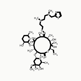 CC[C@H]1OC(=O)[C@H](C)[C@@H](O[C@H]2C[C@@](C)(OC)[C@H](O)[C@H](C)O2)[C@H](C)[C@H](O[C@@H]2O[C@H](C)CC[C@@H]2O)[C@](C)(O)C[C@@H](C)/C(=N\OCCN(C)CCN(C)Cc2nccs2)[C@H](C)[C@H](O)[C@]1(C)O